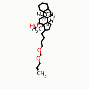 C=CCOCOCCCCC1CC[C@H]2C3CCC4CCCCC4(C)[C@H]3C[C@H](O)C12C